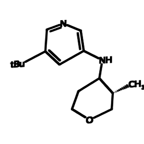 C[C@@H]1COCCC1Nc1cncc(C(C)(C)C)c1